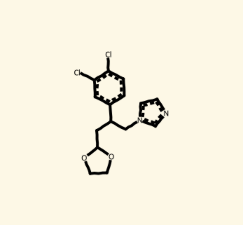 Clc1ccc(C(CC2OCCO2)Cn2ccnc2)cc1Cl